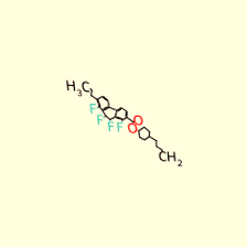 C=CCCC1CCC(OC(=O)c2ccc3c(c2F)C(F)C(F)c2c-3ccc(CCC)c2F)CC1